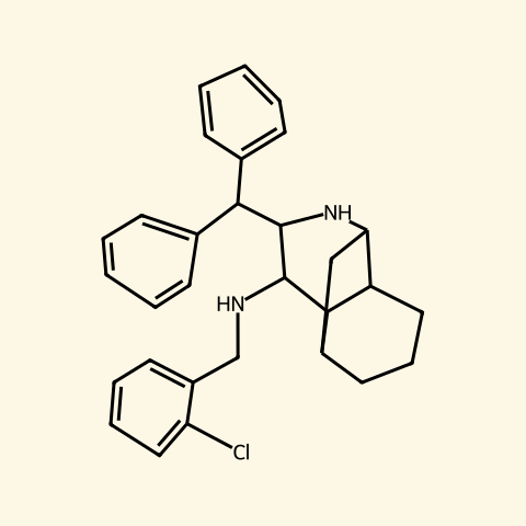 Clc1ccccc1CNC1C(C(c2ccccc2)c2ccccc2)NC2CC3CCCC2C31